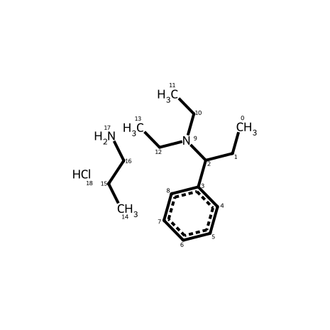 CCC(c1ccccc1)N(CC)CC.CCCN.Cl